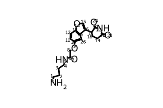 NCCCCNC(=O)COc1ccc2occ(C3CCC(=O)NC3=O)c2c1